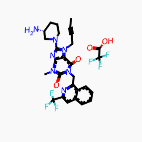 CC#CCn1c(N2CCC[C@@H](N)C2)nc2c1c(=O)n(Cc1nc(C(F)(F)F)cc3ccccc13)c(=O)n2C.O=C(O)C(F)(F)F